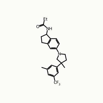 CCC(=O)NC1CCc2cc(N3CCC(C)(c4cc(C)cc(C(F)(F)F)c4)C3)ccc21